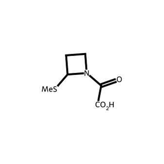 CSC1CCN1C(=O)C(=O)O